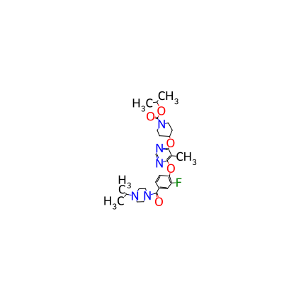 Cc1c(Oc2ccc(C(=O)N3CCN(C(C)C)CC3)cc2F)ncnc1OC1CCN(C(=O)OC(C)C)CC1